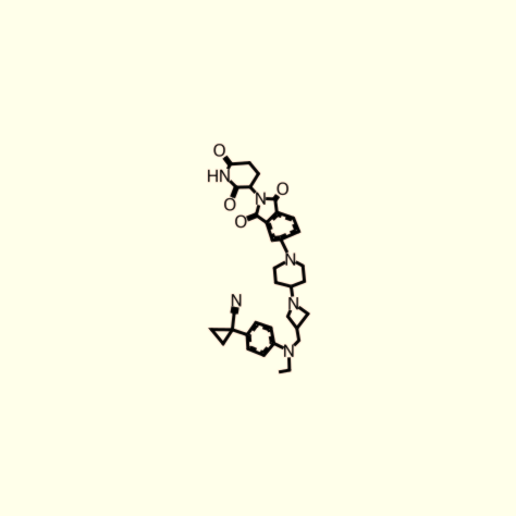 CCN(CC1CN(C2CCN(c3ccc4c(c3)C(=O)N(C3CCC(=O)NC3=O)C4=O)CC2)C1)c1ccc(C2(C#N)CC2)cc1